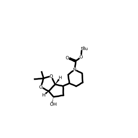 CC(C)(C)OC(=O)N1CCCC(C2C[C@H](O)[C@@H]3OC(C)(C)O[C@H]23)C1